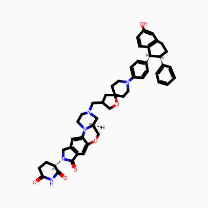 O=C1CC[C@H](N2Cc3cc4c(cc3C2=O)OC[C@@H]2CN(CC3COC5(CCN(c6ccc([C@@H]7c8ccc(O)cc8CC[C@@H]7c7ccccc7)cc6)CC5)C3)CCN42)C(=O)N1